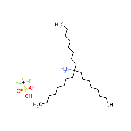 CCCCCCCCC(N)(CCCCCCCC)CCCCCCCC.O=S(=O)(O)C(F)(F)F